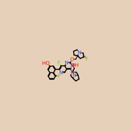 OCCN1C2CCC1CN(c1nc(OC[C@@]34CCCN3C[C@H](F)C4)nc3c(F)c(-c4cc(O)cc5cccc(F)c45)ncc13)C2